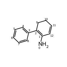 NC1=C(c2ccccc2)CCC=C1